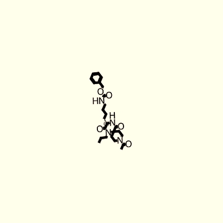 CCCN1C(=O)[C@H](CCCCNC(=O)OCc2ccccc2)NC(=O)C12CCN(C(C)=O)CC2